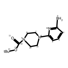 Bc1cccc(N2CCN(C(=O)OC(C)(C)C)CC2)n1